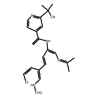 C=C(NC(/C=C/C(/C=C\CC)=C/NC=O)=C/N=C(C)C)c1ccnc(C(C)(C)C#N)c1